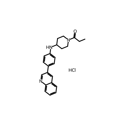 CCC(=O)N1CCC(Nc2ccc(-c3cnc4ccccc4c3)cc2)CC1.Cl